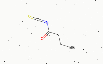 CCCCCCC(=O)N=C=S